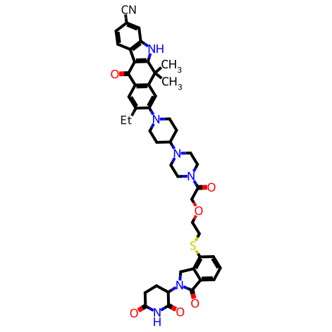 CCc1cc2c(cc1N1CCC(N3CCN(C(=O)COCCSc4cccc5c4CN(C4CCC(=O)NC4=O)C5=O)CC3)CC1)C(C)(C)c1[nH]c3cc(C#N)ccc3c1C2=O